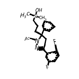 CC(=O)N1N=C(c2cc(F)ccc2F)CC1(CCC[Si](C)(C)O)c1ccccc1